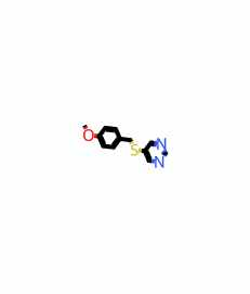 COc1ccc(CSc2cncnc2)cc1